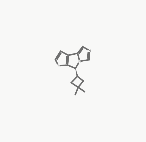 CC1(C)CC([C@H]2c3sccc3-c3cncn32)C1